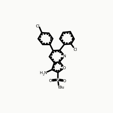 CC(C)(C)S(=O)(=O)c1oc2nc(-c3ccccc3Cl)c(-c3ccc(Cl)cc3)cc2c1N